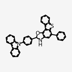 c1ccc(-c2cc3c(c4c2sc2ccccc24)OC(c2ccc(-n4c5ccccc5c5ccccc54)cc2)N3)cc1